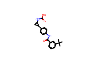 CC(C)(C)c1cccc(C(=O)Nc2ccc(C3CC3NC(=O)O)cc2)c1